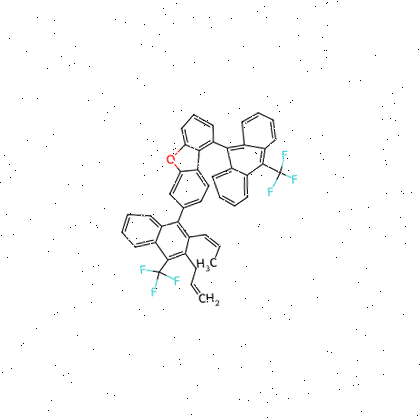 C=CCc1c(/C=C\C)c(-c2ccc3c(c2)oc2cccc(-c4c5ccccc5c(C(F)(F)F)c5ccccc45)c23)c2ccccc2c1C(F)(F)F